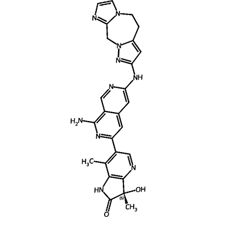 Cc1c(-c2cc3cc(Nc4cc5n(n4)Cc4nccn4CC5)ncc3c(N)n2)cnc2c1NC(=O)[C@@]2(C)O